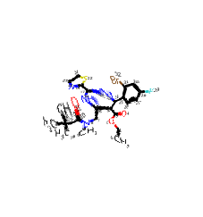 CCOC(=O)C1=C(CN(C)C(=O)C(C)(C)C)NC(c2nccs2)=NC1c1ccc(F)cc1Br